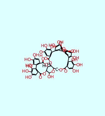 O=C1OC2C(O)OC3COC(=O)c4cc(O)c(O)c(O)c4-c4c(O)c(O)c5oc(=O)c6c(c(O)c(O)c7oc(=O)c4c5c76)-c4c(cc(O)c(O)c4O)C(=O)O[C@H]3[C@@H]2OC(=O)c2cc(O)c(O)c(O)c2-c2c1cc(O)c(O)c2O